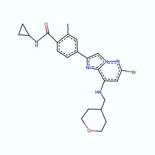 Cc1cc(-c2cn3nc(Br)cc(NCC4CCOCC4)c3n2)ccc1C(=O)NC1CC1